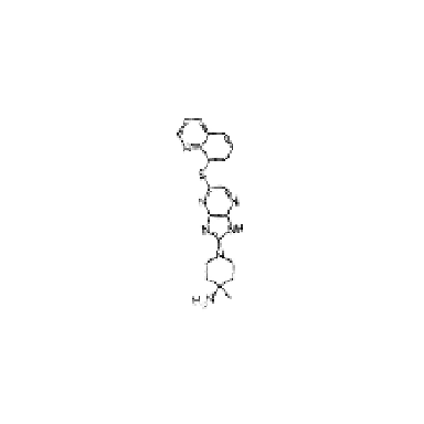 CC1(N)CCN(c2nc3nc(Sc4cccc5cccnc45)cnc3[nH]2)CC1